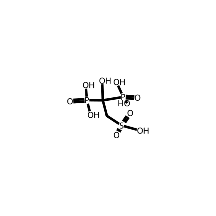 O=P(O)(O)C(O)(CS(=O)(=O)O)P(=O)(O)O